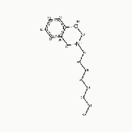 CCCCCCCCN1[CH]Oc2ccccc2C1